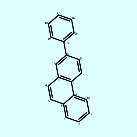 [c]1cc2c(ccc3ccccc32)cc1-c1ccccc1